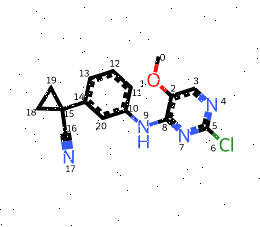 COc1cnc(Cl)nc1Nc1cccc(C2(C#N)CC2)c1